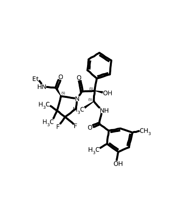 CCNC(=O)[C@H]1N(C(=O)[C@](O)(c2ccccc2)[C@H](C)NC(=O)c2cc(C)cc(O)c2C)CC(F)(F)C1(C)C